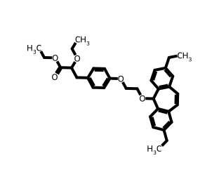 CCOC(=O)C(Cc1ccc(OCCOC2c3ccc(CC)cc3C=Cc3cc(CC)ccc32)cc1)OCC